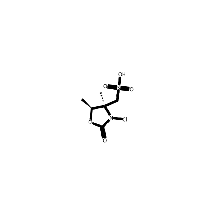 C[C@@H]1OC(=O)N(Cl)[C@]1(C)CS(=O)(=O)O